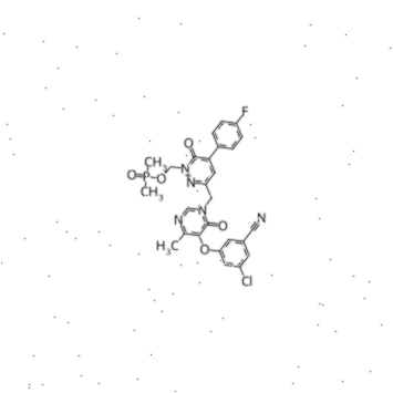 Cc1ncn(Cc2cc(-c3ccc(F)cc3)c(=O)n(COP(C)(C)=O)n2)c(=O)c1Oc1cc(Cl)cc(C#N)c1